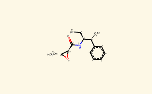 CC(=O)O[C@H](c1ccccc1)[C@H](CC(C)C)NC(=O)[C@H]1O[C@@H]1C(=O)O